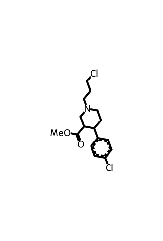 COC(=O)C1CN(CCCCl)CCC1c1ccc(Cl)cc1